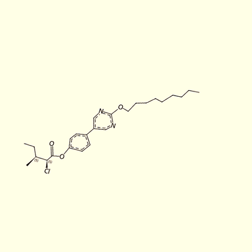 CCCCCCCCCOc1ncc(-c2ccc(OC(=O)[C@@H](Cl)[C@@H](C)CC)cc2)cn1